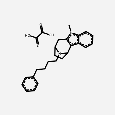 Cn1c2c(c3ccccc31)C1CCC(C2)N1CCCCc1ccccc1.O=C(O)C(=O)O